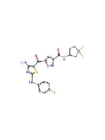 Nc1nc(Nc2ccc(F)cc2)sc1C(=O)c1cc(C(=O)NC2CCC(F)(F)C2)no1